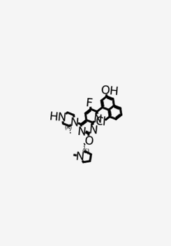 C[C@@H]1CNCCN1c1nc(OC[C@@H]2CCCN2C)nc2nc(-c3cc(O)cc4cccc(Cl)c34)c(F)cc12